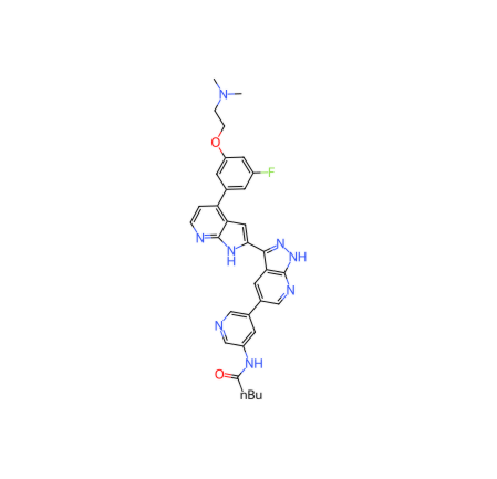 CCCCC(=O)Nc1cncc(-c2cnc3[nH]nc(-c4cc5c(-c6cc(F)cc(OCCN(C)C)c6)ccnc5[nH]4)c3c2)c1